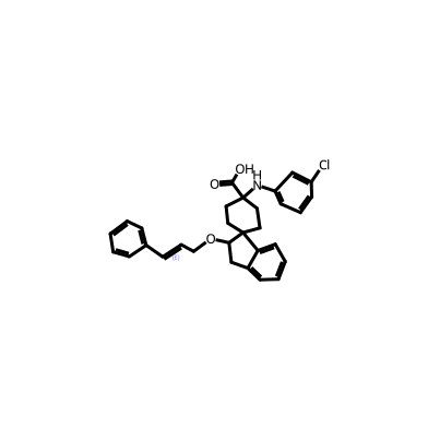 O=C(O)C1(Nc2cccc(Cl)c2)CCC2(CC1)c1ccccc1CC2OC/C=C/c1ccccc1